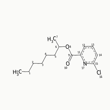 CCCCCCC(C)OC(=O)c1cccc(Cl)n1